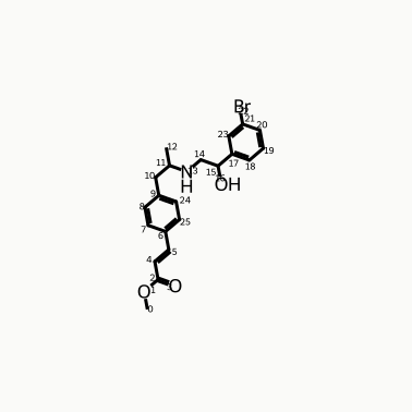 COC(=O)C=Cc1ccc(CC(C)NCC(O)c2cccc(Br)c2)cc1